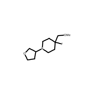 COCC1(F)CCN(C2CCOC2)CC1